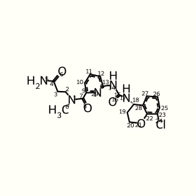 CN(CCC(N)=O)C(=O)c1cccc(NC(=O)N[C@H]2CCOc3c(Cl)cccc32)n1